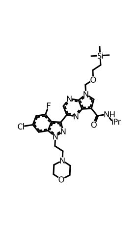 CC(C)NC(=O)c1cn(COCC[Si](C)(C)C)c2ncc(-c3nn(CCN4CCOCC4)c4cc(Cl)cc(F)c34)nc12